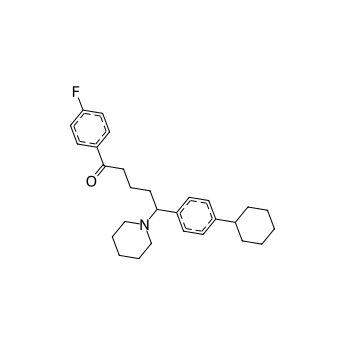 O=C(CCCC(c1ccc(C2CCCCC2)cc1)N1CCCCC1)c1ccc(F)cc1